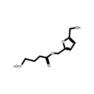 CCCCCCCCCCCC(=O)OCc1ccc(CO)o1